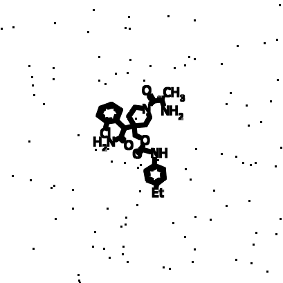 CCc1ccc(NC(=O)OCC2(C(C(N)=O)c3ccccc3Cl)CCN(C(=O)[C@H](C)N)CC2)cc1